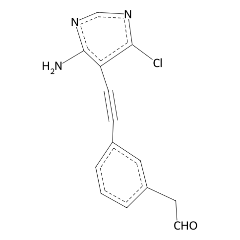 Nc1ncnc(Cl)c1C#Cc1cccc(CC=O)c1